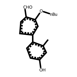 CCCCOc1cc(-c2ccc(O)cc2C)ccc1C=O